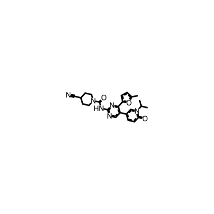 Cc1ccc(-c2nc(NC(=O)N3CCC(C#N)CC3)ncc2-c2ccc(=O)n(C(C)C)c2)o1